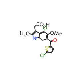 COC1=C(C(=O)c2ccc(Cl)s2)CC2=NC(C)=C(CC(=O)O)C2=C1Cl